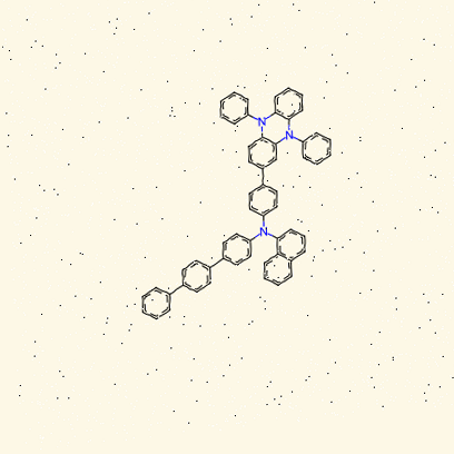 c1ccc(-c2ccc(-c3ccc(N(c4ccc(-c5ccc6c(c5)N(c5ccccc5)c5ccccc5N6c5ccccc5)cc4)c4cccc5ccccc45)cc3)cc2)cc1